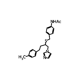 CC(=O)Nc1ccc(CSC(CCc2ccc(C)cc2)Cn2ccnc2)cc1